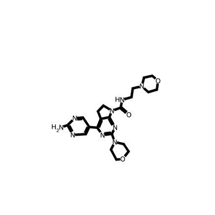 Nc1ncc(-c2nc(N3CCOCC3)nc3c2CCN3C(=O)NCCN2CCOCC2)cn1